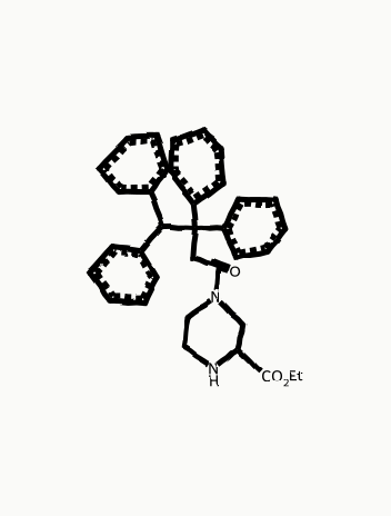 CCOC(=O)C1CN(C(=O)CC(c2ccccc2)(c2ccccc2)C(c2ccccc2)c2ccccc2)CCN1